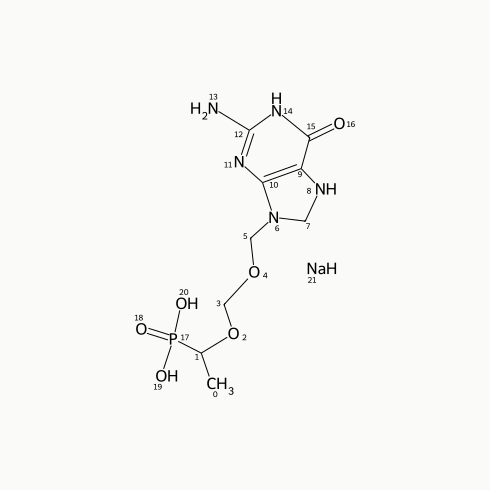 CC(OCOCN1CNc2c1nc(N)[nH]c2=O)P(=O)(O)O.[NaH]